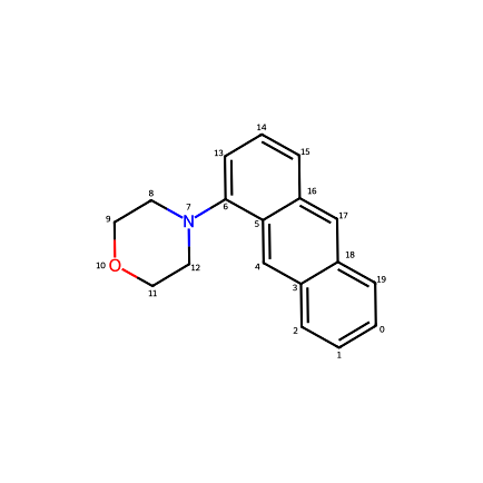 c1ccc2cc3c(N4CCOCC4)cccc3cc2c1